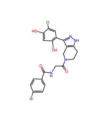 O=C(NCC(=O)N1CCc2[nH]nc(-c3cc(Cl)c(O)cc3O)c2C1)c1ccc(Br)cc1